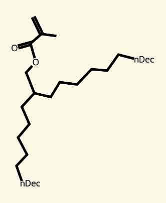 C=C(C)C(=O)OCC(CCCCCCCCCCCCCCC)CCCCCCCCCCCCCCCC